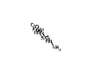 NCCCNCc1ccc(-c2c[nH]c(NC(=O)Nc3cccc(Cl)c3F)nc2=O)cn1